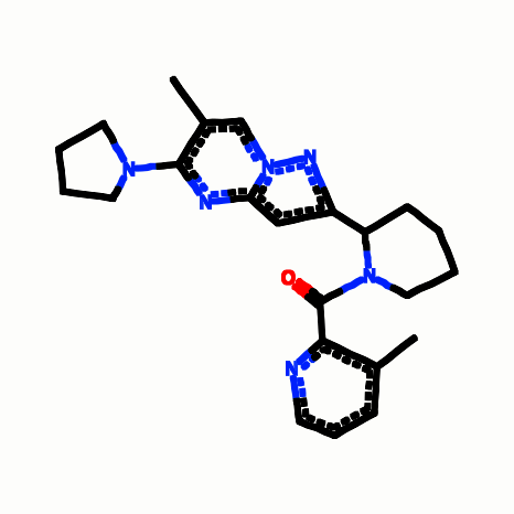 Cc1cccnc1C(=O)N1CCCCC1c1cc2nc(N3CCCC3)c(C)cn2n1